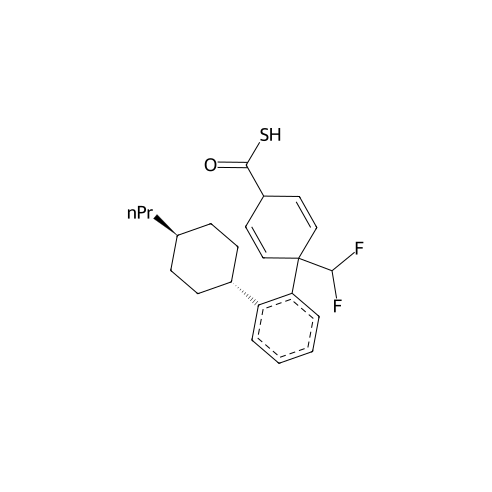 CCC[C@H]1CC[C@H](c2ccccc2C2(C(F)F)C=CC(C(=O)S)C=C2)CC1